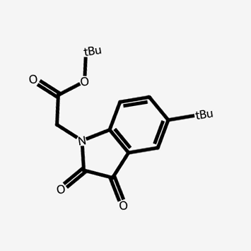 CC(C)(C)OC(=O)CN1C(=O)C(=O)c2cc(C(C)(C)C)ccc21